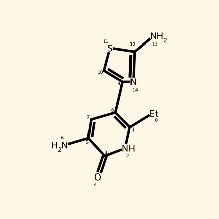 CCc1[nH]c(=O)c(N)cc1-c1csc(N)n1